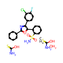 C.NC(O)=S.NC(O)=S.NS(=O)(=O)c1ccccc1-c1oc(-c2ccccc2)nc1-c1ccc(F)c(Cl)c1.O